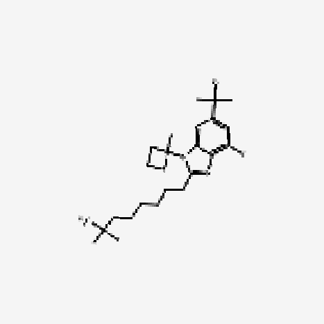 CC(C)(O)c1cc(F)c2nc(CCCCCCC(C)(C)C(F)(F)F)n(C3(C)CCC3)c2c1